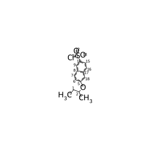 CCC(C)Oc1ccc2cc(S(=O)(=O)Cl)ccc2c1